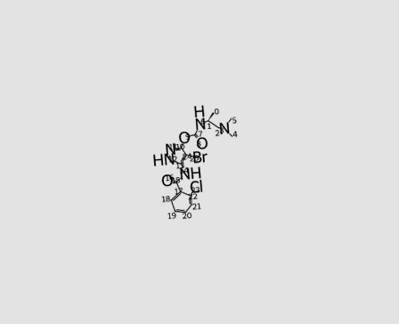 C[C@@H](CN(C)C)NC(=O)Oc1n[nH]c(NC(=O)c2ccccc2Cl)c1Br